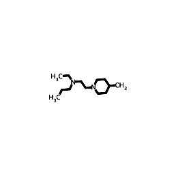 CCCN(CC)CCN1CCC(C)CC1